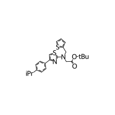 CC(C)c1ccc(-c2csc(N(CC(=O)OC(C)(C)C)Cc3cccs3)n2)cc1